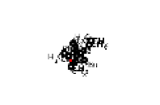 Cc1cc2c(cc1N1c3cc4c(oc5ccccc54)c4c3B(c3sc5cc6c(cc5c31)CCCC6(C)C)N(c1ccc(C(C)(C)C)cc1)c1cc3sc5cc6c(cc5c3cc1-4)C(C)(C)CCC6(C)C)C(C)(C)CCC2(C)C